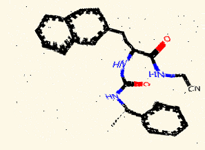 C[C@H](NC(=O)NC(Cc1ccc2ccccc2c1)C(=O)NCC#N)c1ccccc1